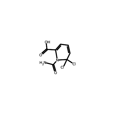 NC(=O)N1C(C(=O)O)=CC=CC1(Cl)Cl